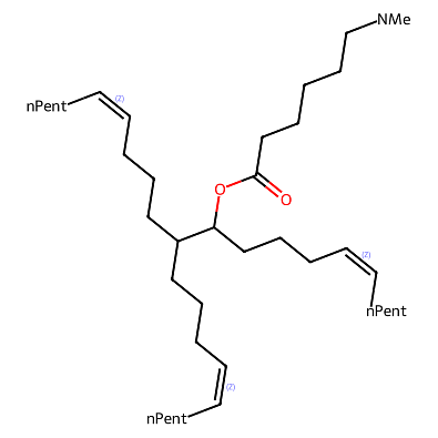 CCCCC/C=C\CCCC(CCC/C=C\CCCCC)C(CCC/C=C\CCCCC)OC(=O)CCCCCNC